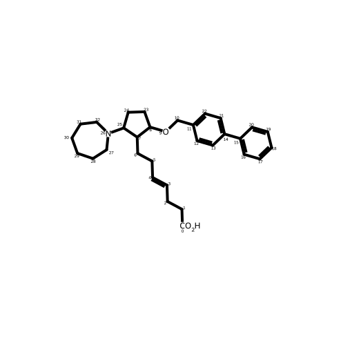 O=C(O)CCC=CCCC1C(OCc2ccc(-c3ccccc3)cc2)CCC1N1CCCCCC1